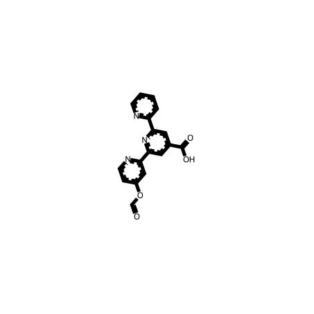 O=COc1ccnc(-c2cc(C(=O)O)cc(-c3ccccn3)n2)c1